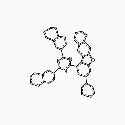 c1ccc(-c2cc(-c3nc(-c4ccc5ccccc5c4)nc(-c4ccc5ccccc5c4)n3)c3c(c2)oc2cc4ccccc4cc23)cc1